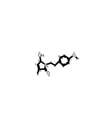 COc1ccc(CCN2C(=O)C(C)=CC2O)cc1